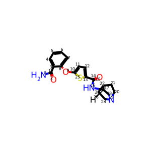 NC(=O)c1ccccc1Oc1ccc(C(=O)N[C@H]2CN3CCC2CC3)s1